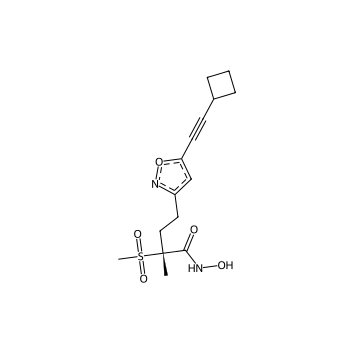 C[C@@](CCc1cc(C#CC2CCC2)on1)(C(=O)NO)S(C)(=O)=O